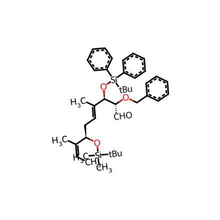 C/C=C(/C)[C@@H](C/C=C(\C)[C@@H](O[Si](c1ccccc1)(c1ccccc1)C(C)(C)C)[C@@H](C=O)OCc1ccccc1)O[Si](C)(C)C(C)(C)C